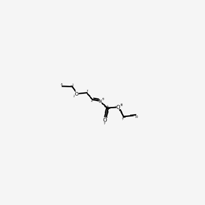 CCOCC=NC(=O)OCC